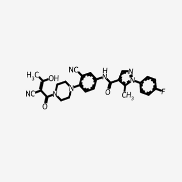 CC(O)=C(C#N)C(=O)N1CCN(c2ccc(NC(=O)c3cnn(-c4ccc(F)cc4)c3C)cc2C#N)CC1